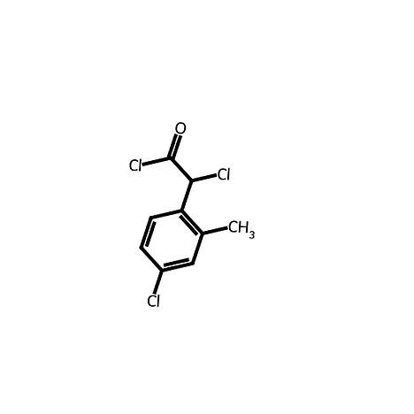 Cc1cc(Cl)ccc1C(Cl)C(=O)Cl